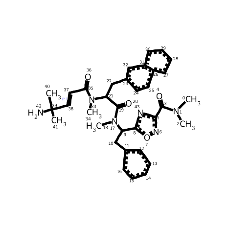 CN(C)C(=O)c1noc(C(Cc2ccccc2)N(C)C(=O)C(Cc2ccc3ccccc3c2)N(C)C(=O)/C=C/C(C)(C)N)n1